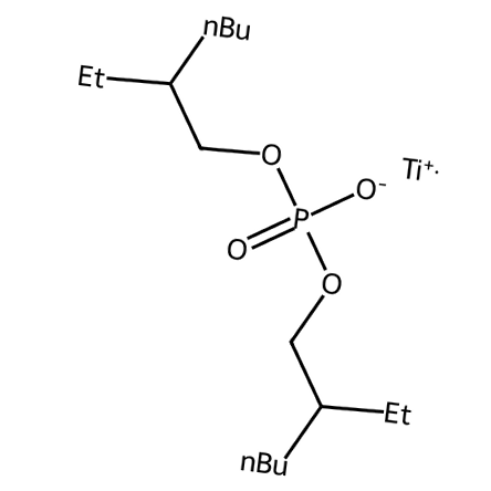 CCCCC(CC)COP(=O)([O-])OCC(CC)CCCC.[Ti+]